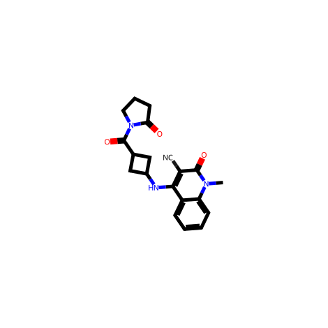 Cn1c(=O)c(C#N)c(NC2CC(C(=O)N3CCCC3=O)C2)c2ccccc21